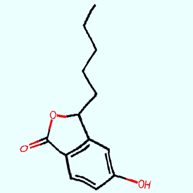 CCCCCC1OC(=O)c2ccc(O)cc21